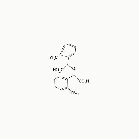 O=C(O)C(OC(C(=O)O)c1ccccc1[N+](=O)[O-])c1ccccc1[N+](=O)[O-]